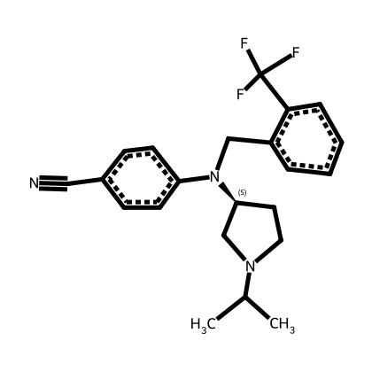 CC(C)N1CC[C@H](N(Cc2ccccc2C(F)(F)F)c2ccc(C#N)cc2)C1